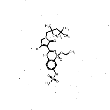 CCOP1(=O)N=C(C2=C(O)CN(CC(C)(C)CC(C)(C)C)C2=O)Nc2ccc(NS(C)(=O)=O)cc21